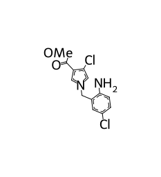 COC(=O)c1cn(Cc2cc(Cl)ccc2N)cc1Cl